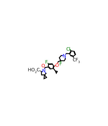 O=C(O)[C@@H]1CC2(CC2)CN1C(=O)c1cc(C2CC2)c(OCC2(F)CCN(Cc3cc(C(F)(F)F)ccc3Cl)CC2)cc1F